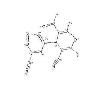 CC(=O)C1=C(C)OC(C)=C(C#N)C1c1cccc(C#N)n1